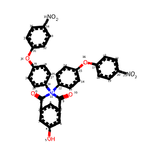 O=C1c2cc(O)cc(c2)C(=O)[N+]1(c1ccc(Oc2ccc([N+](=O)[O-])cc2)cc1)c1ccc(Oc2ccc([N+](=O)[O-])cc2)cc1